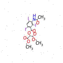 CCOC(=O)C(OC(=O)c1c(I)cc(I)c(NC(C)=O)c1I)C(=O)OCC